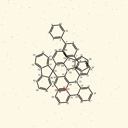 c1ccc(-c2ccc(-c3cccc(N(c4ccccc4-c4ccccc4)c4cccc5c4-n4c6ccccc6c6cccc(c64)C54c5ccccc5-c5ccccc54)c3)cc2)cc1